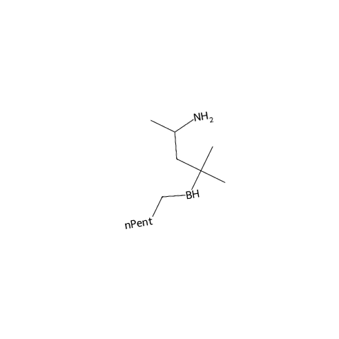 CCCCCCBC(C)(C)CC(C)N